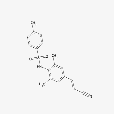 Cc1ccc(S(=O)(=O)Nc2c(C)cc(/C=C/C#N)cc2C)cc1